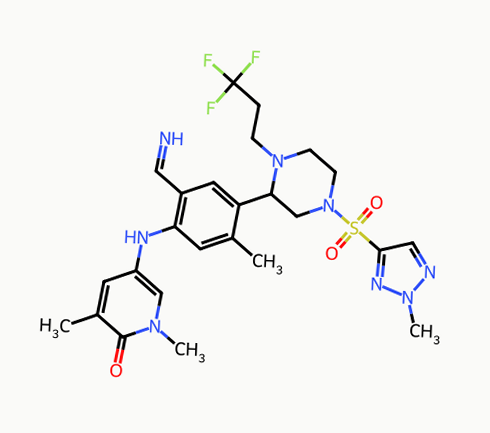 Cc1cc(Nc2cc(C)c(=O)n(C)c2)c(C=N)cc1C1CN(S(=O)(=O)c2cnn(C)n2)CCN1CCC(F)(F)F